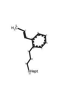 CC=Cc1ccccc1CCCCCCCCCC